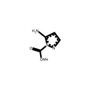 COC(=O)n1nccc1N